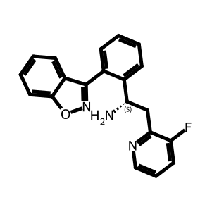 N[C@@H](Cc1ncccc1F)c1ccccc1-c1noc2ccccc12